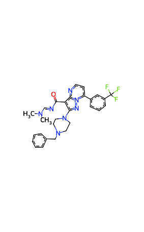 CN(C)/C=N/C(=O)c1c(N2CCN(Cc3ccccc3)CC2)nn2c(-c3cccc(C(F)(F)F)c3)ccnc12